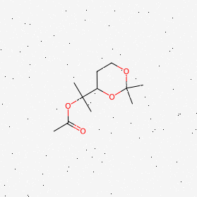 CC(=O)OC(C)(C)C1CCOC(C)(C)O1